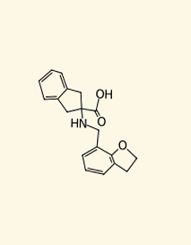 O=C(O)C1(NCc2cccc3c2OCC3)Cc2ccccc2C1